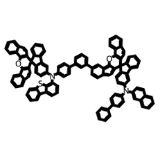 c1ccc(-c2ccc(N(c3ccc4c(c3)-c3ccccc3C43c4ccc5ccccc5c4Oc4c3ccc3ccc(-c5cccc(-c6ccc(N(c7ccc8c(c7)-c7ccccc7C87c8ccc9ccccc9c8Oc8c7ccc7ccccc87)c7cccc8c7sc7ccccc78)cc6)c5)cc43)c3ccc4ccccc4c3)cc2)cc1